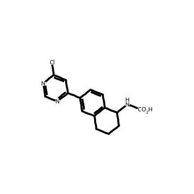 O=C(O)NC1CCCc2cc(-c3cc(Cl)ncn3)ccc21